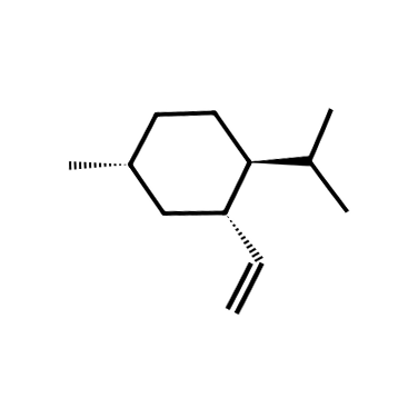 C=C[C@@H]1C[C@H](C)CC[C@H]1C(C)C